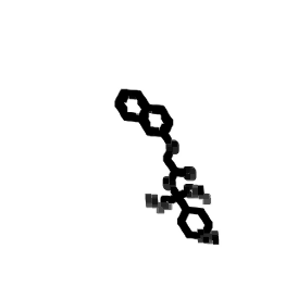 CC(C)(OC(=O)COc1ccc2ccccc2c1)C1CCNCC1